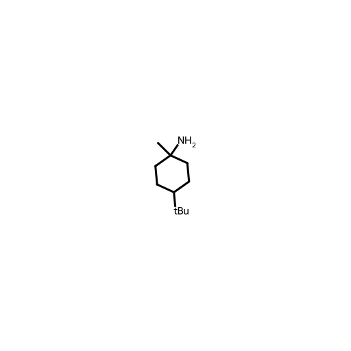 CC1(N)CCC(C(C)(C)C)CC1